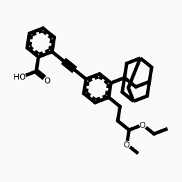 CCOC(CCc1ccc(C#Cc2ccccc2C(=O)O)cc1C12CC3CC(CC(C3)C1)C2)OC